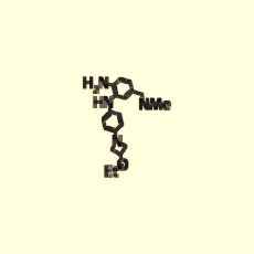 CCOC1CN(c2ccc(Nc3cc(CNC)ccc3N)cc2)C1